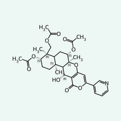 CC(=O)OC[C@@]1(C)C2C[C@H](OC(C)=O)[C@@]3(C)Oc4cc(-c5cccnc5)oc(=O)c4[C@H](O)C3[C@@]2(C)CC[C@@H]1OC(C)=O